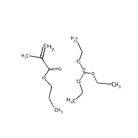 C=C(C)C(=O)OCCC.CCO[SiH](OCC)OCC